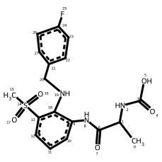 CC(NC(=O)O)C(=O)Nc1cccc(S(C)(=O)=O)c1NCc1ccc(F)cc1